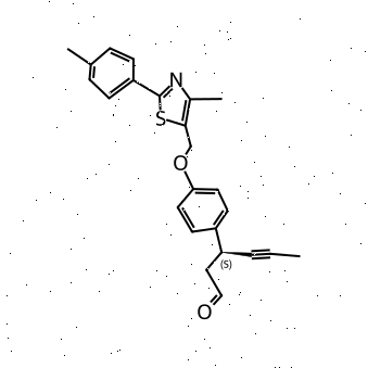 CC#C[C@@H](CC=O)c1ccc(OCc2sc(-c3ccc(C)cc3)nc2C)cc1